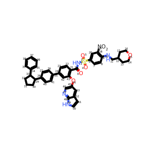 O=C(NS(=O)(=O)c1ccc(NCC2CCOCC2)c([N+](=O)[O-])c1)c1ccc(-c2ccc(C3CCCC3c3ccccc3)cc2)cc1Oc1cnc2[nH]ccc2c1